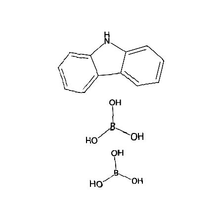 OB(O)O.OB(O)O.c1ccc2c(c1)[nH]c1ccccc12